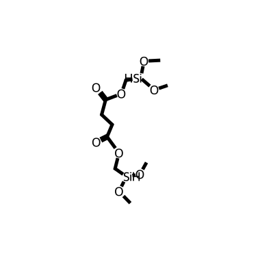 CO[SiH](COC(=O)CCC(=O)OC[SiH](OC)OC)OC